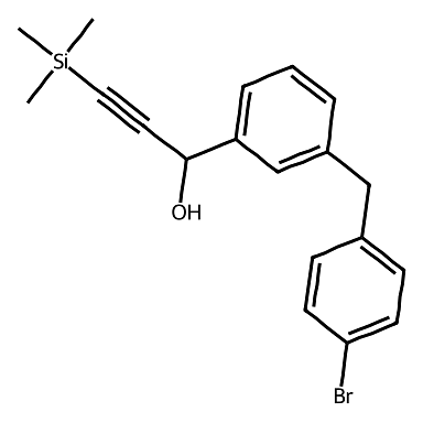 C[Si](C)(C)C#CC(O)c1cccc(Cc2ccc(Br)cc2)c1